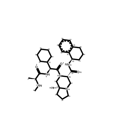 CN[C@@H](C)C(=O)N[C@H](C(=O)N1C[C@@H]2CCCN2C[C@H]1C(=O)N[C@@H]1CCCc2ccccc21)C1CCCCC1